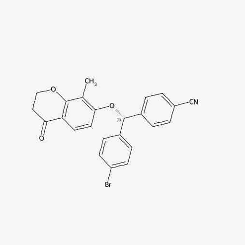 Cc1c(O[C@@H](c2ccc(Br)cc2)c2ccc(C#N)cc2)ccc2c1OCCC2=O